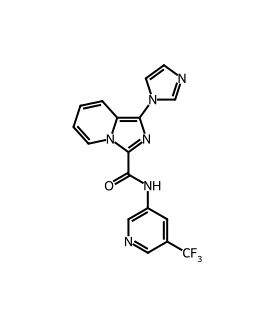 O=C(Nc1cncc(C(F)(F)F)c1)c1nc(-n2ccnc2)c2ccccn12